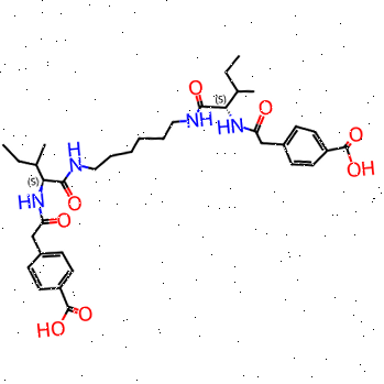 CCC(C)[C@H](NC(=O)Cc1ccc(C(=O)O)cc1)C(=O)NCCCCCCNC(=O)[C@@H](NC(=O)Cc1ccc(C(=O)O)cc1)C(C)CC